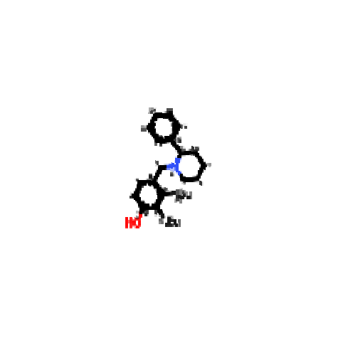 CC(C)(C)c1c(O)ccc(CN2CCCCC2c2ccccc2)c1C(C)(C)C